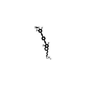 CCCCCC1CCc2c(cc(F)c(C#Cc3ccc(C#Cc4cc(F)c(SC#N)c(F)c4)cc3)c2F)C1